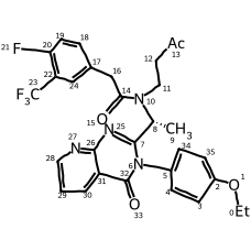 CCOc1ccc(-n2c([C@@H](C)N(CCC(C)=O)C(=O)Cc3ccc(F)c(C(F)(F)F)c3)nc3ncccc3c2=O)cc1